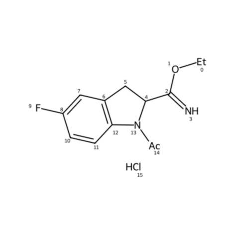 CCOC(=N)C1Cc2cc(F)ccc2N1C(C)=O.Cl